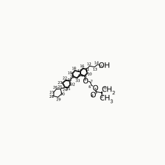 C=C(C)C(=O)OCCOc1cc(CCCO)cc2ccc(-c3ccc(C4CCCCC4)cc3)cc12